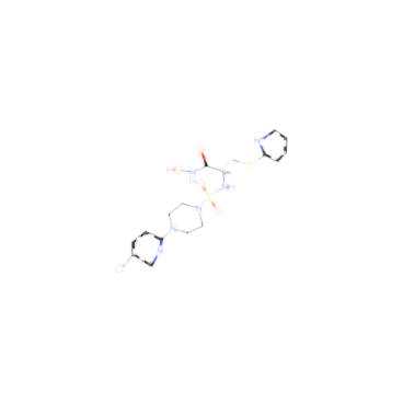 O=C(NO)[C@H](CSc1ccccn1)NS(=O)(=O)N1CCN(c2ccc(Cl)cn2)CC1